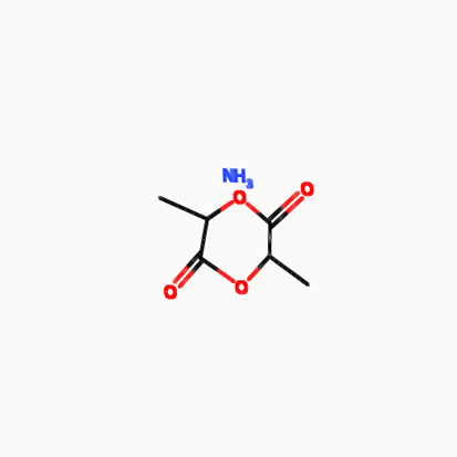 CC1OC(=O)C(C)OC1=O.N